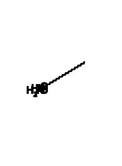 CCCCCCCCCCCCCCCCCCCCCCCCCCOC(=O)NN